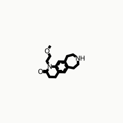 COCCN1C(=O)CCc2cc3c(cc21)CCNCC3